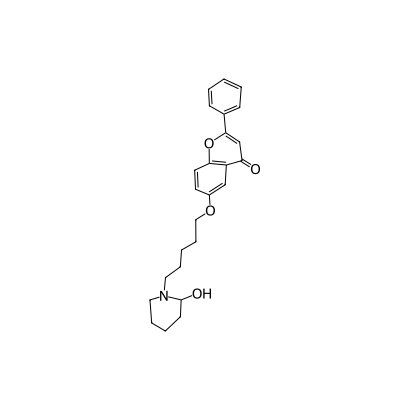 O=c1cc(-c2ccccc2)oc2ccc(OCCCCCN3CCCCC3O)cc12